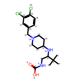 CC(C)(C)C(CNC(=O)O)NC1CCN(Cc2ccc(Cl)c(Cl)c2)CC1